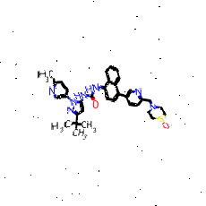 Cc1ccc(-n2nc(C(C)(C)C)cc2NC(=O)Nc2ccc(-c3ccc(CN4CC[S+]([O-])CC4)nc3)c3ccccc23)cn1